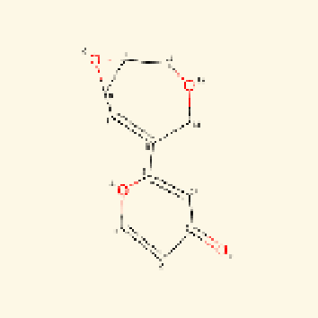 O=c1ccoc(C2=CC3OC3COC2)c1